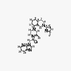 Cc1csc(N2CCc3cccc(N4CCN(C(=O)Cn5cnc6cccnc65)[C@H](C)C4)c3C2)n1